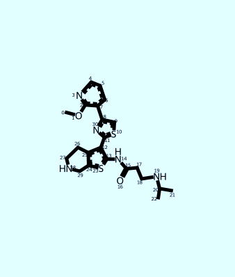 COc1ncccc1-c1csc(-c2c(NC(=O)CCNC(C)C)sc3c2CCNC3)n1